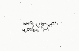 COc1cc([C@H]2CC[C@H](C)CN2)cnc1C